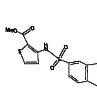 COC(=O)c1sccc1NS(=O)(=O)c1ccc(C)c(F)c1